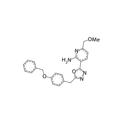 COCc1ccc(-c2nnc(Cc3ccc(OCc4ccccc4)cc3)o2)c(N)n1